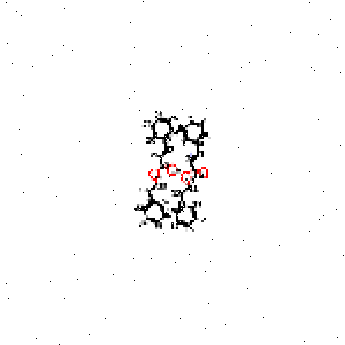 O=C(/C=C/c1ccccc1)OCCc1ccccc1.O=C(C=Cc1ccccc1)OCCc1ccccc1